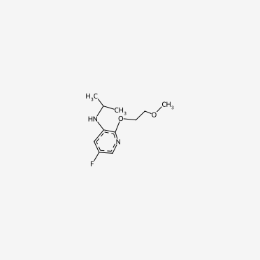 COCCOc1ncc(F)cc1NC(C)C